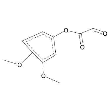 COc1ccc(OC(=O)C=O)cc1OC